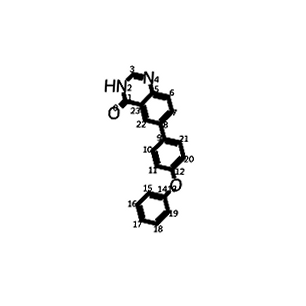 O=c1[nH]cnc2ccc(-c3ccc(Oc4ccccc4)cc3)cc12